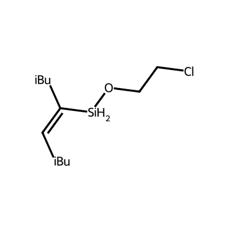 CCC(C)C=C([SiH2]OCCCl)C(C)CC